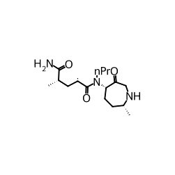 CCCN(C(=O)[CH]C[C@H](C)C(N)=O)[C@H]1CC[C@@H](C)NCC1=O